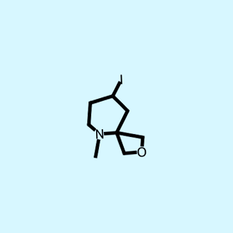 CN1CCC(I)CC12COC2